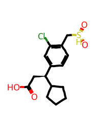 O=C(O)C[C@@H](c1ccc(C[SH](=O)=O)c(Cl)c1)C1CCCC1